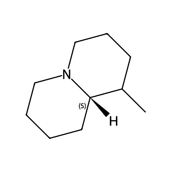 CC1CCCN2CCCC[C@@H]12